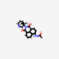 CC(=O)Nc1ccc2c3c(cccc13)C(=O)N([C@@H]1CN3CCC1CC3)C2=O